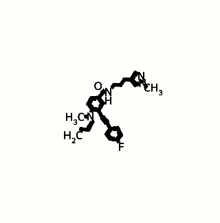 C=C/C=C\N(C)c1ccc(C(=O)NCCCc2cnn(C)c2)cc1C#Cc1ccc(F)cc1